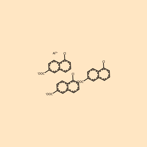 O=C([O-])c1ccc2c(Cl)cccc2c1.O=C([O-])c1ccc2c(Cl)cccc2c1.O=C([O-])c1ccc2c(Cl)cccc2c1.[Al+3]